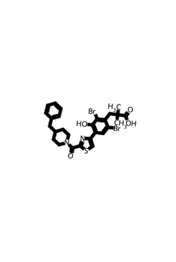 CC(C)(Cc1c(Br)cc(-c2csc(C(=O)N3CCC(Cc4ccccc4)CC3)n2)c(O)c1Br)C(=O)O